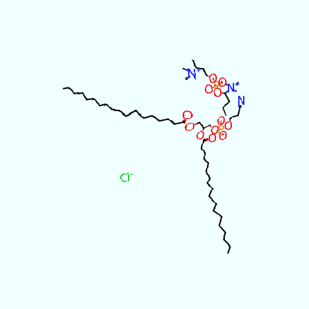 CCCCCCCCCCCCCCCCCC(=O)OCC(COP(=O)(OCCC#N)OCCCC(OP(=O)([O-])OCCC(C)[N+](C)(C)C)[N+](C)(C)C)OC(=O)CCCCCCCCCCCCCCCCC.[Cl-]